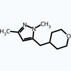 Cc1cc(CC2CCOCC2)n(C)n1